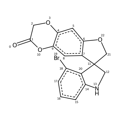 O=C1COc2cc3c(cc2O1)C1(CNc2cccc(Br)c21)CO3